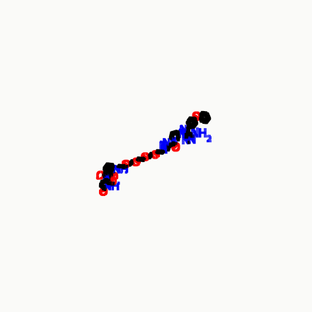 Nc1ncnc2c1c(-c1ccc(Oc3ccccc3)cc1)nn2C1CCCN(C(=O)c2cn(CCOCCOCCOCCOCCNc3cccc4c3C(=O)N(C3CCC(=O)NC3=O)C4=O)nn2)C1